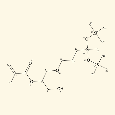 C=C(C)C(=O)OC(CO)COCCC[Si](C)(O[Si](C)(C)C)O[Si](C)(C)C